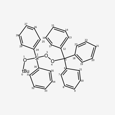 CC(C)(C)O[Si](OOC(c1ccccc1)(c1ccccc1)c1ccccc1)(c1ccccc1)c1ccccc1